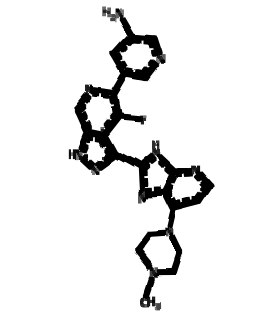 CN1CCN(c2ccnc3[nH]c(-c4n[nH]c5cnc(-c6cncc(N)c6)c(F)c45)nc23)CC1